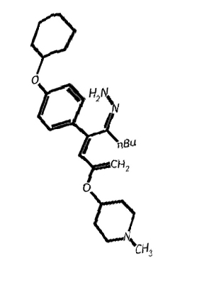 C=C(/C=C(\C(CCCC)=N/N)c1ccc(OC2CCCCC2)cc1)OC1CCN(C)CC1